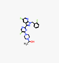 CC(O)N1CCN(c2nc(-c3nn(Cc4ccccc4F)c4ncc(F)cc34)ncc2F)CC1